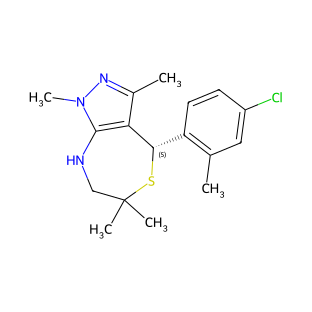 Cc1cc(Cl)ccc1[C@@H]1SC(C)(C)CNc2c1c(C)nn2C